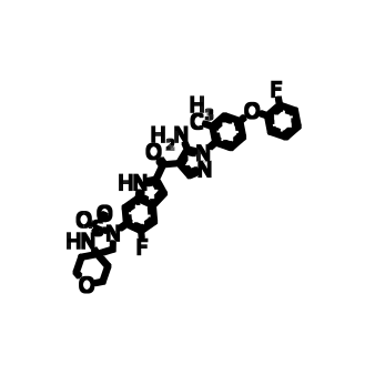 Cc1cc(Oc2ccccc2F)ccc1-n1ncc(C(=O)c2cc3cc(F)c(N4CC5(CCOCC5)NS4(=O)=O)cc3[nH]2)c1N